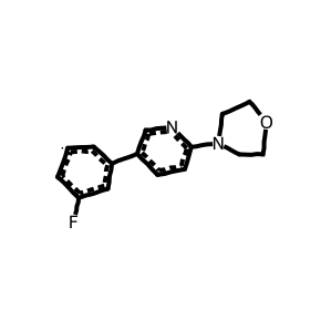 Fc1c[c]cc(-c2ccc(N3CCOCC3)nc2)c1